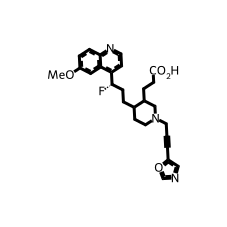 COc1ccc2nccc([C@@H](F)CCC3CCN(CC#Cc4cnco4)CC3CCC(=O)O)c2c1